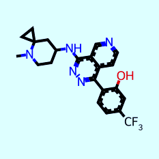 CN1CCC(Nc2nnc(-c3ccc(C(F)(F)F)cc3O)c3ccncc23)CC12CC2